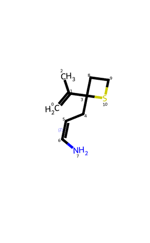 C=C(C)C1(C/C=C\N)CCS1